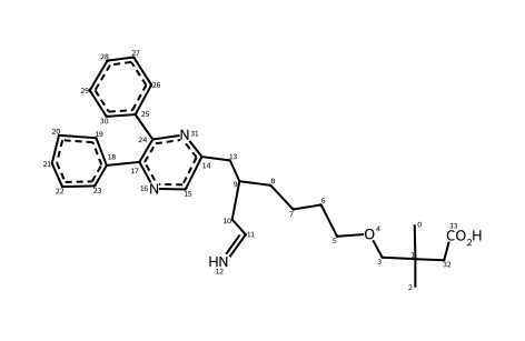 CC(C)(COCCCCC(CC=N)Cc1cnc(-c2ccccc2)c(-c2ccccc2)n1)CC(=O)O